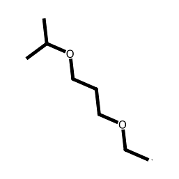 [CH2]COCCCOC(C)C